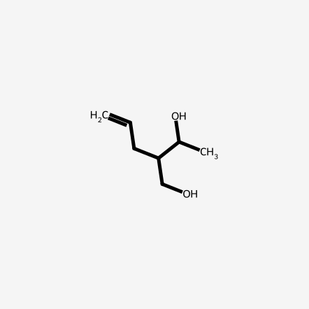 C=CCC(CO)C(C)O